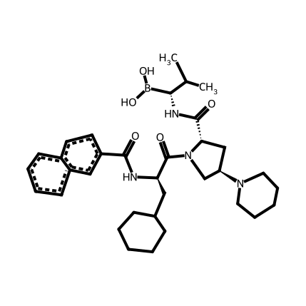 CC(C)[C@H](NC(=O)[C@@H]1C[C@@H](N2CCCCC2)CN1C(=O)[C@@H](CC1CCCCC1)NC(=O)c1ccc2ccccc2c1)B(O)O